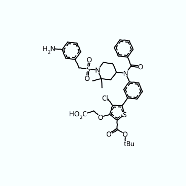 CC(C)(C)OC(=O)c1sc(-c2cccc(N(C(=O)c3ccccc3)C3CCN(S(=O)(=O)Cc4cccc(N)c4)C(C)(C)C3)c2)c(Cl)c1OCC(=O)O